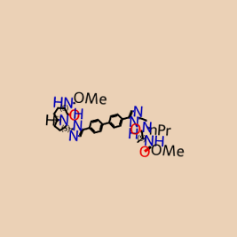 CCCN(Cc1ncc(-c2ccc(-c3ccc(-c4cnc([C@@H]5CC[C@@H]6CC[C@H](NCOC)C(=O)N65)[nH]4)cc3)cc2)[nH]1)C(=O)[C@H](C)NC(=O)OC